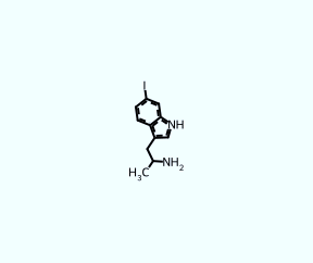 CC(N)Cc1c[nH]c2cc(I)ccc12